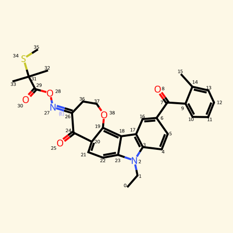 CCn1c2ccc(C(=O)c3ccccc3C)cc2c2c3c(ccc21)C(=O)/C(=N/OC(=O)C(C)(C)SC)CCO3